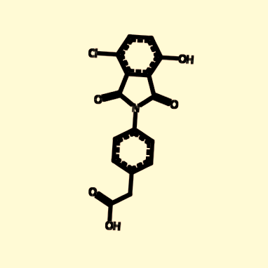 O=C(O)Cc1ccc(N2C(=O)c3c(O)ccc(Cl)c3C2=O)cc1